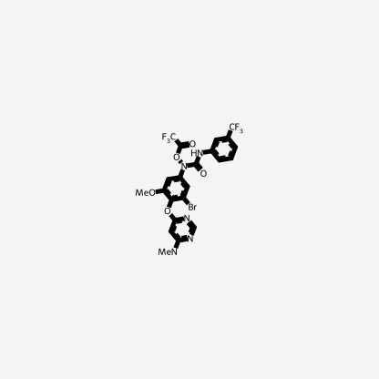 CNc1cc(Oc2c(Br)cc(N(OC(=O)C(F)(F)F)C(=O)Nc3cccc(C(F)(F)F)c3)cc2OC)ncn1